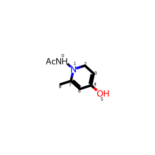 CC(=O)NN1CC=C(O)C=C1C